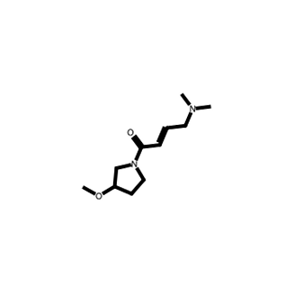 COC1CCN(C(=O)/C=C/CN(C)C)C1